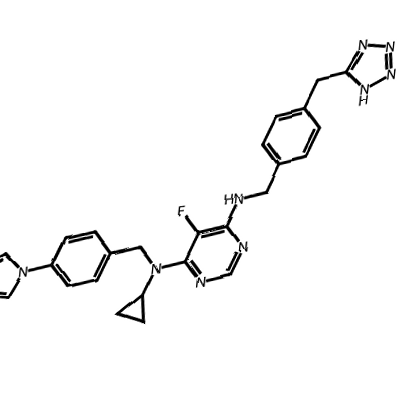 Fc1c(NCc2ccc(Cc3nnn[nH]3)cc2)ncnc1N(Cc1ccc(-n2cccc2)cc1)C1CC1